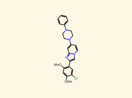 COc1cc(OC)c(-c2cn3ccc(N4CCN(c5ccccc5)CC4)cc3n2)cc1Cl